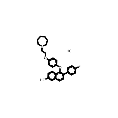 Cl.Oc1ccc2c(Oc3ccc(OCCN4CCCCCC4)cc3)c(-c3ccc(F)cc3)ccc2c1